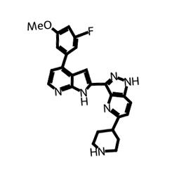 COc1cc(F)cc(-c2ccnc3[nH]c(-c4n[nH]c5ccc(C6CCNCC6)nc45)cc23)c1